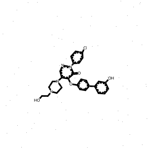 O=c1c(Oc2ccc(-c3cccc(O)c3)cc2)c(N2CCN(CCO)CC2)cnn1-c1ccc(Cl)cc1